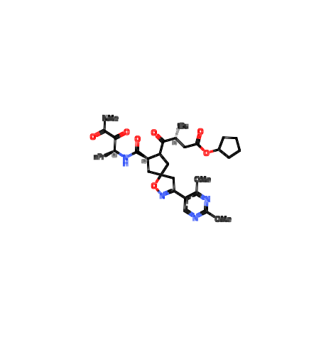 CCC[C@H](NC(=O)[C@@H]1CC2(CC(c3cnc(OC)nc3OC)=NO2)CC1C(=O)[C@@H](CC(=O)OC1CCCC1)C(C)(C)C)C(=O)C(=O)NC